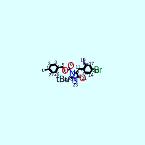 Cc1ccc(COC(=O)N2[C@@H](Cc3ccc(Br)cc3I)C(=O)N(C)[C@@H]2C(C)(C)C)cc1